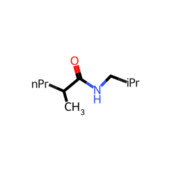 CCCC(C)C(=O)NCC(C)C